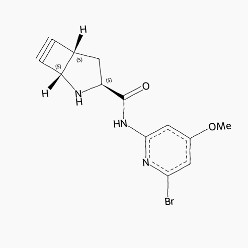 COc1cc(Br)nc(NC(=O)[C@@H]2C[C@H]3C#C[C@H]3N2)c1